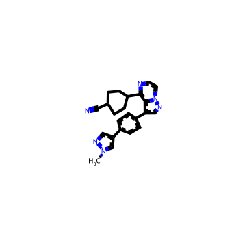 Cn1cc(-c2ccc(-c3cnn4ccnc(C5CCC(C#N)CC5)c34)cc2)cn1